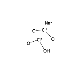 [Na+].[O-][Cl+]O.[O-][Cl+][O-]